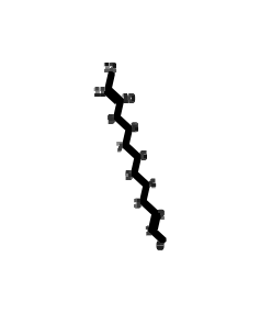 C/C=C/CCCCCCC/C=C/C